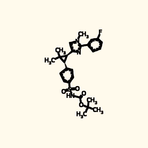 Cn1cc([C@H]2[C@H](c3ccc(S(=O)(=O)NC(=O)OC(C)(C)C)cc3)C2(C)C)nc1-c1cccc(F)c1